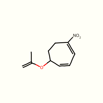 C=C(C)OC1C=CC=C([N+](=O)[O-])CC1